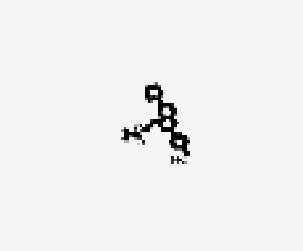 C=C(C)C(=O)OCCc1cc(-c2ccc(CO)cc2)cc2ccc(C3CCCCC3)cc12